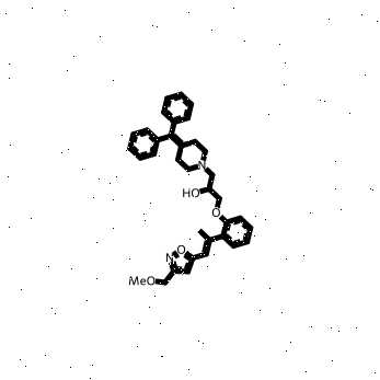 COCc1cc(C=C(C)c2ccccc2OCC(O)CN2CCC(=C(c3ccccc3)c3ccccc3)CC2)on1